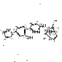 CN1[C@@]2(C)C=C[C@]1(C)[C@H](F)[C@@H](Oc1ccc(-c3ccc(-n4ccnn4)cc3O)nn1)C2